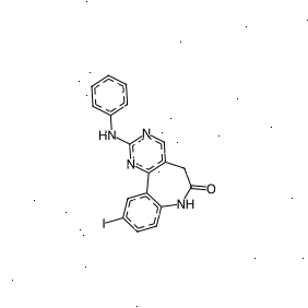 O=C1Cc2cnc(Nc3ccccc3)nc2-c2cc(I)ccc2N1